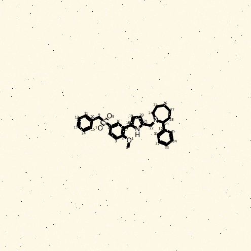 COc1ccc(S(=O)(=O)Cc2ccccc2)cc1-c1ccc(CN2CCCCCC2c2ccccc2)[nH]1